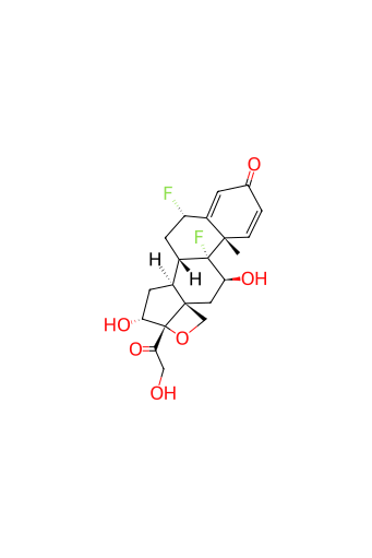 C[C@]12C=CC(=O)C=C1[C@@H](F)C[C@H]1[C@@H]3C[C@@H](O)[C@@]4(C(=O)CO)OC[C@]34C[C@H](O)[C@@]12F